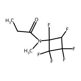 CCC(=O)N(C)C1(F)C(F)C(F)(F)C1(F)F